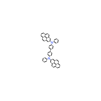 c1ccc(N(c2ccc(-c3ccc(N(c4ccccc4)c4cc5ccc6cccc7ccc(c4)c5c67)cc3)cc2)c2cc3ccc4cccc5ccc(c2)c3c45)cc1